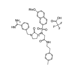 COc1ccc2ccc(S(=O)(=O)N(CC(=O)NCCc3ccc(C)cc3)[C@H]3CCN(Cc4cccc(C(=N)N)c4)C3=O)cc2c1.O=C(O)C(F)(F)F